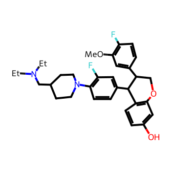 CCN(CC)CC1CCN(c2ccc(C3c4ccc(O)cc4OCC3c3ccc(F)c(OC)c3)cc2F)CC1